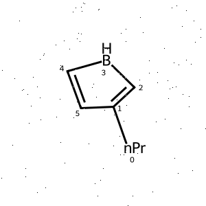 CCCC1=CBC=C1